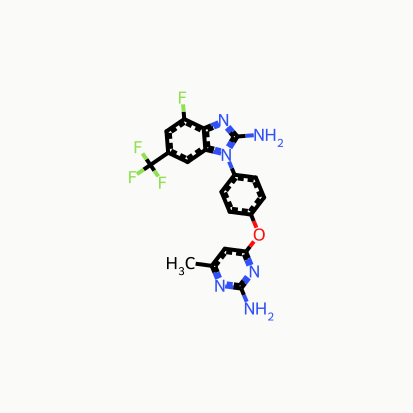 Cc1cc(Oc2ccc(-n3c(N)nc4c(F)cc(C(F)(F)F)cc43)cc2)nc(N)n1